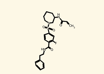 C=CC(=O)NC1CCCCN(S(=O)(=O)c2ccc(C(=O)NCCc3ccccc3)c(F)c2)C1